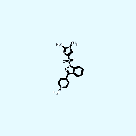 Cc1nc(S(=O)(=O)n2nc(C3=CCN(C)CC3)c3ccccc32)cn1C